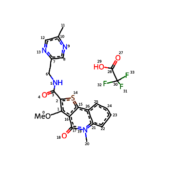 COc1c(C(=O)NCc2cnc(C)cn2)sc2c1c(=O)n(C)c1ccccc21.O=C(O)C(F)(F)F